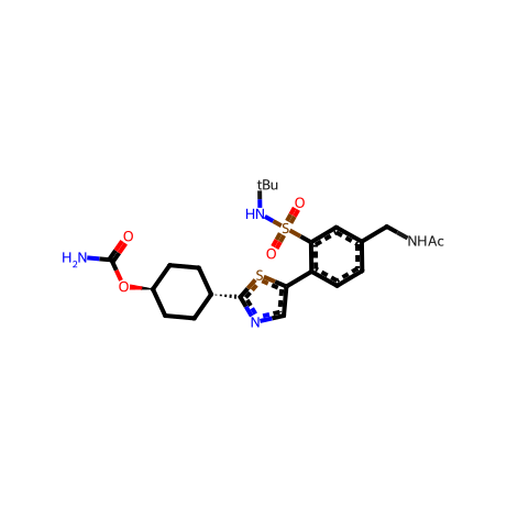 CC(=O)NCc1ccc(-c2cnc([C@H]3CC[C@H](OC(N)=O)CC3)s2)c(S(=O)(=O)NC(C)(C)C)c1